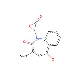 COc1cc(=O)c2ccccc2n(C2OC2=O)c1=O